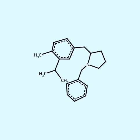 Cc1ccc(CC2CCCN2Cc2ccccc2)cc1C(C)C